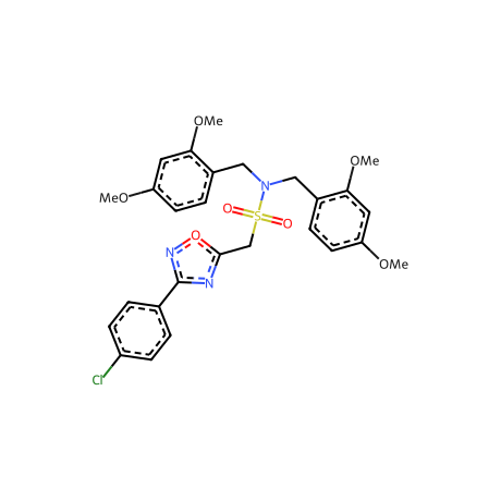 COc1ccc(CN(Cc2ccc(OC)cc2OC)S(=O)(=O)Cc2nc(-c3ccc(Cl)cc3)no2)c(OC)c1